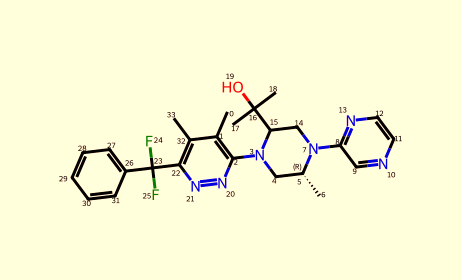 Cc1c(N2C[C@@H](C)N(c3cnccn3)CC2C(C)(C)O)nnc(C(F)(F)c2ccccc2)c1C